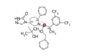 C[C@@H](OC[C@@]1(c2ccccc2)CC[C@](CC(C)(C)O)(n2cn[nH]c2=O)CN1C(=O)OCc1ccccc1)c1cc(C(F)(F)F)cc(C(F)(F)F)c1